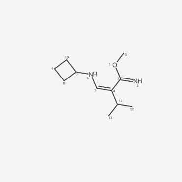 COC(=N)/C(=C\NC1CCC1)C(C)C